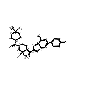 CC(C)(C)c1cc(-c2ccc(F)cc2)nn2cc(C(=O)N3CCN(C(=O)[C@H]4CC[C@](C)(C(=O)O)CC4)CC3(C)C)nc12